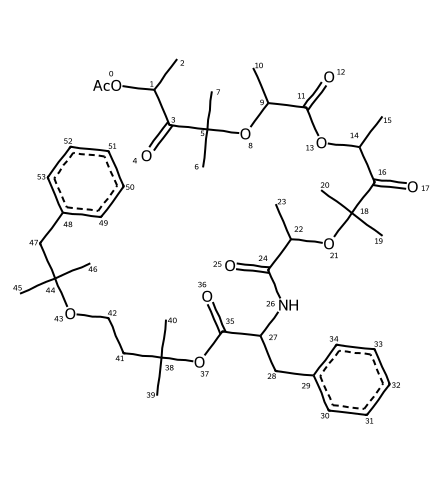 CC(=O)OC(C)C(=O)C(C)(C)OC(C)C(=O)OC(C)C(=O)C(C)(C)OC(C)C(=O)NC(Cc1ccccc1)C(=O)OC(C)(C)CCOC(C)(C)Cc1ccccc1